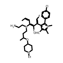 C\C=C/C(=C(F)\C(=C\F)c1c(C=O)c(C)n(C)c1-c1ccc(Cl)cc1)N(CCN)CCC(C)OC1CCN(CC)CC1